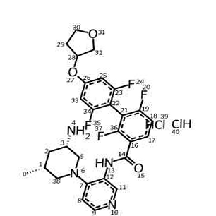 C[C@@H]1C[C@H](N)CN(c2ccncc2NC(=O)c2ccc(F)c(-c3c(F)cc(OC4CCOC4)cc3F)c2F)C1.Cl.Cl